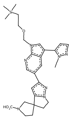 Cn1nccc1-c1cn(COCC[Si](C)(C)C)c2ncc(-c3cc4n(n3)CCC43CCN(C(=O)O)C3)cc12